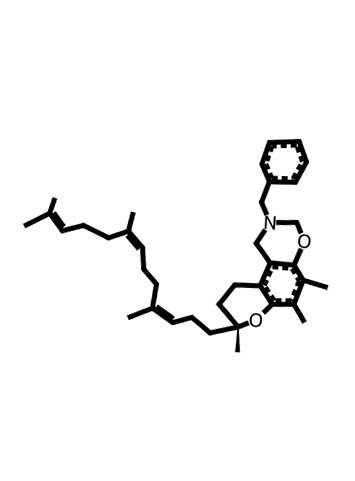 CC(C)=CCCC(C)=CCCC(C)=CCC[C@]1(C)CCc2c3c(c(C)c(C)c2O1)OCN(Cc1ccccc1)C3